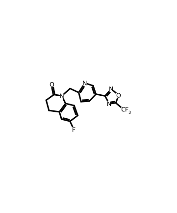 O=C1CCc2cc(F)ccc2N1Cc1ccc(-c2noc(C(F)(F)F)n2)cn1